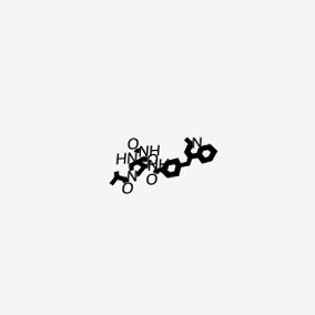 Cc1cc(Cc2ccc(C(=O)NC3CN(C(=O)C(C)C)CC34NC(=O)NC4=O)cc2)c2ccccc2n1